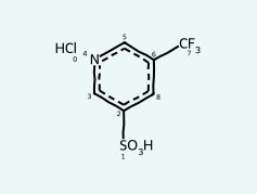 Cl.O=S(=O)(O)c1cncc(C(F)(F)F)c1